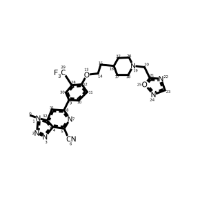 Cn1nnc2c(C#N)nc(-c3ccc(OCCC4CCN(Cc5ncno5)CC4)c(C(F)(F)F)c3)cc21